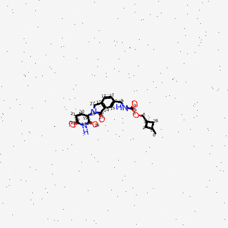 CC1CC(COC(=O)NCc2ccc3c(c2)C(=O)N(C2CCC(=O)NC2=O)C3)C1